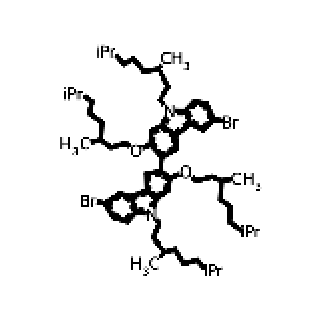 CC(C)CCCC(C)CCOc1cc2c(cc1-c1cc3c4cc(Br)ccc4n(CCC(C)CCCC(C)C)c3cc1OCCC(C)CCCC(C)C)c1cc(Br)ccc1n2CCC(C)CCCC(C)C